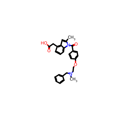 Cc1cc2c(CC(=O)O)cccc2n1C(=O)c1ccc(OCCN(C)Cc2ccccc2)cc1